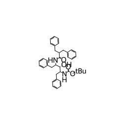 CC(C)(C)OC(=O)NC(Cc1ccccc1)[C@@H](O)C(Cc1ccccc1)NC(=O)C(Cc1ccccc1)Cc1ccccc1